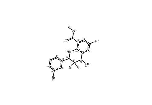 COC(=O)c1cc(F)cc2c1NC(c1cccc(Br)c1)C(C)(C)C2O